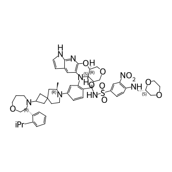 CC(C)c1ccccc1[C@@H]1COCCCN1C1CC2(CCN(c3ccc(C(=O)NS(=O)(=O)c4ccc(NC[C@H]5COCCO5)c([N+](=O)[O-])c4)c(N4c5cc6cc[nH]c6nc5O[C@H]5COCC[C@@H]54)c3)[C@H](C)C2)C1